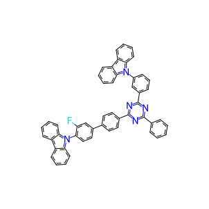 Fc1cc(-c2ccc(-c3nc(-c4ccccc4)nc(-c4cccc(-n5c6ccccc6c6ccccc65)c4)n3)cc2)ccc1-n1c2ccccc2c2ccccc21